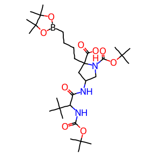 CC(C)(C)OC(=O)NC(C(=O)NC1CN(C(=O)OC(C)(C)C)C(CCCCB2OC(C)(C)C(C)(C)O2)(C(=O)O)C1)C(C)(C)C